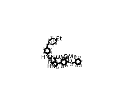 CCN1CCN(Cc2ccc(Nc3nc(OC)c4c(-c5ccc(OCc6ccccc6)c(OC)c5)c[nH]c4n3)cc2)CC1